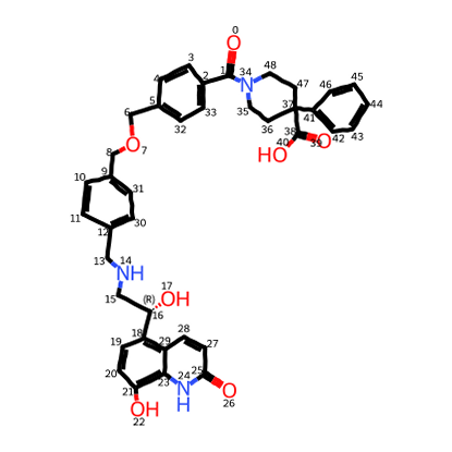 O=C(c1ccc(COCc2ccc(CNC[C@H](O)c3ccc(O)c4[nH]c(=O)ccc34)cc2)cc1)N1CCC(C(=O)O)(c2ccccc2)CC1